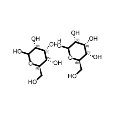 OC[C@H]1OC(O)[C@H](O)[C@H](O)[C@@H]1O.OC[C@H]1OC(O)[C@H](O)[C@H](O)[C@@H]1O